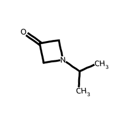 CC(C)N1CC(=O)C1